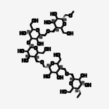 CC[C@@H]1C(CO)O[C@@H](COC[C@@H]2C(CO)O[C@@H](COC[C@@H]3C(CO)O[C@@H](OC4C(O)[C@H](COC[C@@H]5C(CO)O[C@@H](COC)C(O)[C@@H]5O)OC(CO)[C@H]4O)C(O)[C@@H]3O)C(O)C2O)C(O)[C@@H]1O